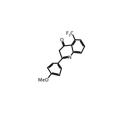 COc1ccc(C2=Nc3cccc(C(F)(F)F)c3C(=O)C2)cc1